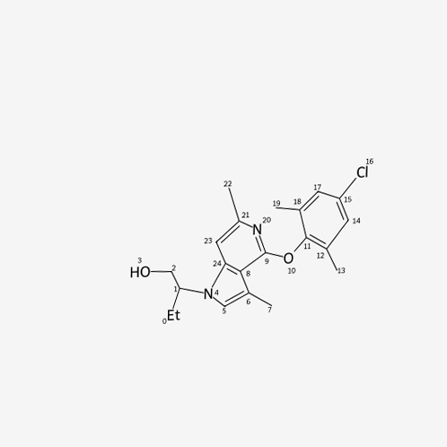 CCC(CO)n1cc(C)c2c(Oc3c(C)cc(Cl)cc3C)nc(C)cc21